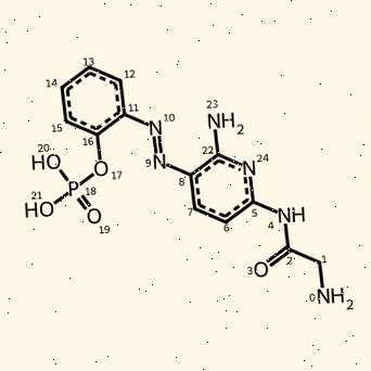 NCC(=O)Nc1ccc(/N=N/c2ccccc2OP(=O)(O)O)c(N)n1